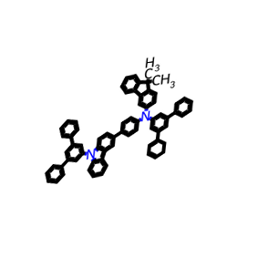 CC1(C)c2ccccc2-c2cc(N(c3ccc(-c4ccc5c(c4)c4ccccc4n5-c4cc(-c5ccccc5)cc(-c5ccccc5)c4)cc3)c3cc(C4=CC=CCC4)cc(-c4ccccc4)c3)ccc21